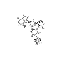 CN(C)[C@@H]1CN(C2CCc3cccc(F)c32)C[C@H]1c1ccc(-c2ncco2)cc1